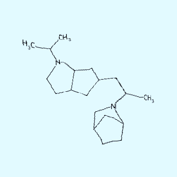 CC(C)N1CCC2CC(CC(C)N3CC4CCC3C4)CC21